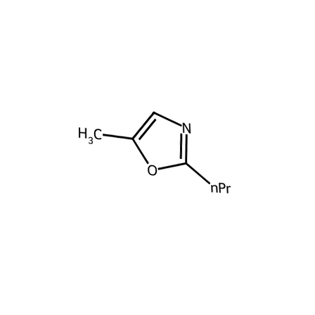 [CH2]CCc1ncc(C)o1